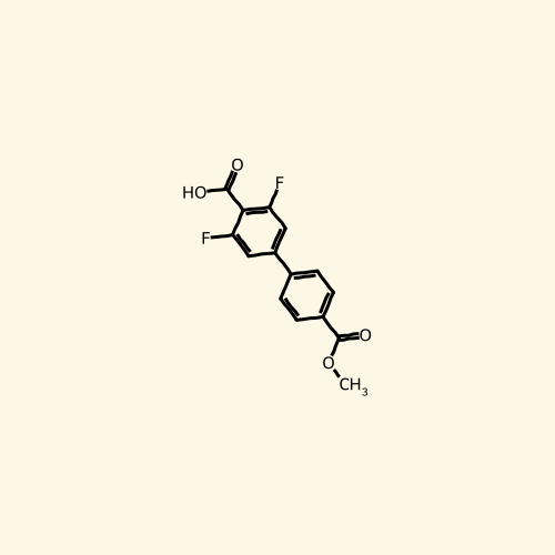 COC(=O)c1ccc(-c2cc(F)c(C(=O)O)c(F)c2)cc1